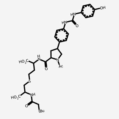 CC(=O)N1CC(c2ccc(NC(=O)Nc3ccc(O)cc3)cc2)CC1C(=O)NC(CCSCC(NC(=O)CC(C)(C)C)C(=O)O)C(=O)O